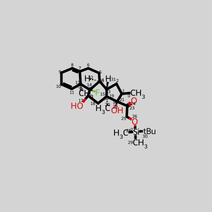 CC1C[C@H]2[C@@H]3CCC4=CCC=C[C@]4(C)[C@@]3(F)C(O)C[C@]2(C)[C@@]1(O)C(=O)CO[Si](C)(C)C(C)(C)C